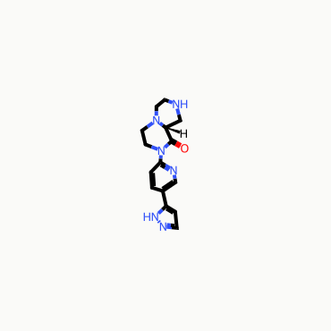 O=C1[C@H]2CNCCN2CCN1c1ccc(-c2ccn[nH]2)cn1